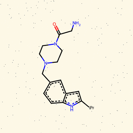 CC(C)c1cc2cc(CN3CCN(C(=O)CN)CC3)ccc2[nH]1